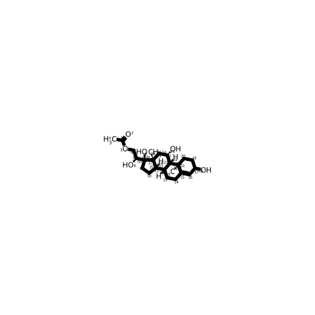 CC(=O)OC[C@H](O)[C@@]1(O)CC[C@H]2[C@@H]3CCC4=CC(O)CC[C@]4(C)[C@H]3[C@@H](O)C[C@@]21C